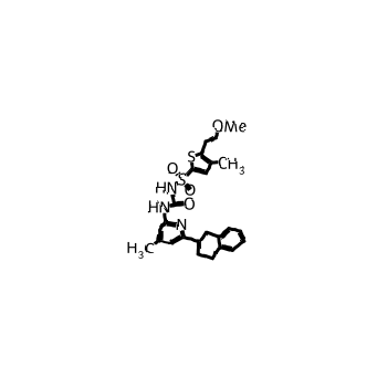 COCCc1sc(S(=O)(=O)NC(=O)Nc2cc(C)cc(C3CCc4ccccc4C3)n2)cc1C